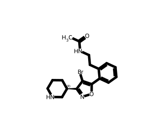 CC(=O)NCCc1ccccc1-c1onc([C@@H]2CCCNC2)c1Br